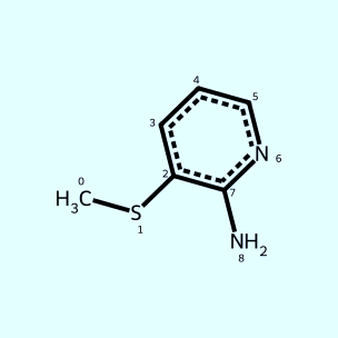 CSc1cccnc1N